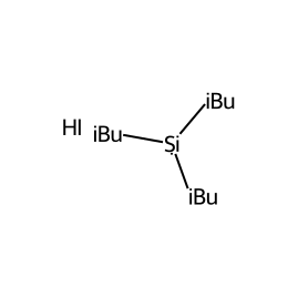 CCC(C)[Si](C(C)CC)C(C)CC.I